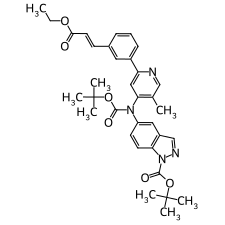 CCOC(=O)C=Cc1cccc(-c2cc(N(C(=O)OC(C)(C)C)c3ccc4c(cnn4C(=O)OC(C)(C)C)c3)c(C)cn2)c1